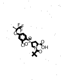 C[C@H](Oc1ccc(S(=O)(=O)[C@@H]2C[C@@H](C(=O)O)N(C(=O)C(C)(C)C)C2)c(Cl)c1)C(F)(F)F